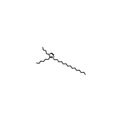 CCCCCCCCCCCCCCC[n+]1ccn(CCCC)c1CCCCCC